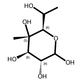 CC(O)[C@H]1OC(O)[C@H](O)[C@@H](O)[C@]1(C)O